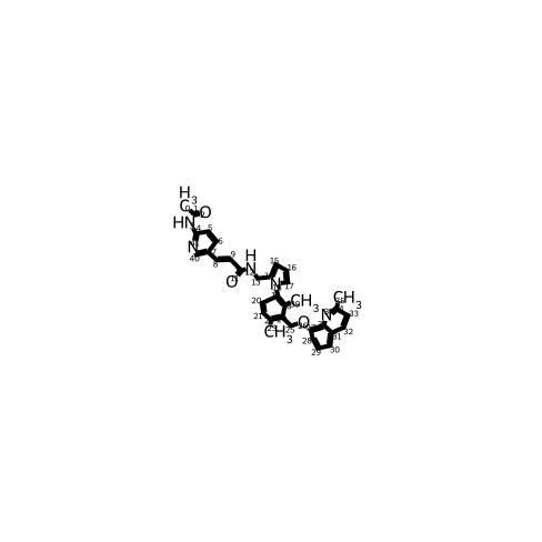 CC(=O)Nc1ccc(/C=C/C(=O)NCc2cccn2-c2ccc(C)c(COc3cccc4ccc(C)nc34)c2C)cn1